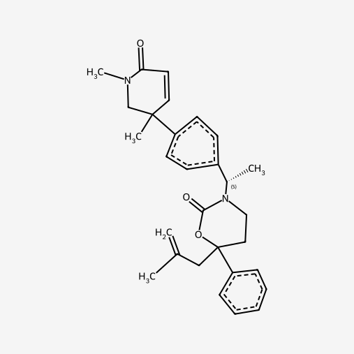 C=C(C)CC1(c2ccccc2)CCN([C@@H](C)c2ccc(C3(C)C=CC(=O)N(C)C3)cc2)C(=O)O1